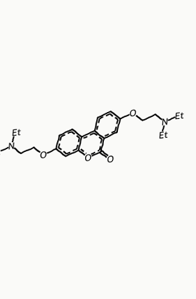 CCN(CC)CCOc1ccc2c(c1)oc(=O)c1cc(OCCN(CC)CC)ccc12